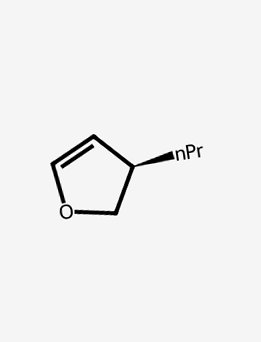 CCC[C@@H]1C=COC1